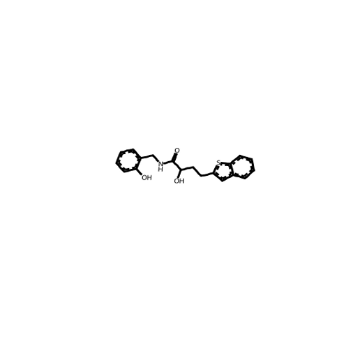 O=C(NCc1ccccc1O)C(O)CCc1cc2ccccc2s1